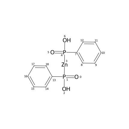 O=[P](O)([Zn][P](=O)(O)c1ccccc1)c1ccccc1